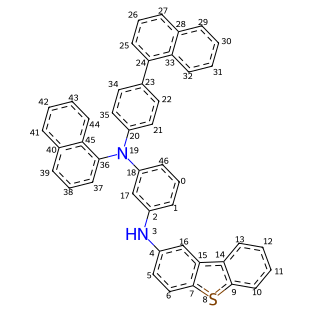 c1cc(Nc2ccc3sc4ccccc4c3c2)cc(N(c2ccc(-c3cccc4ccccc34)cc2)c2cccc3ccccc23)c1